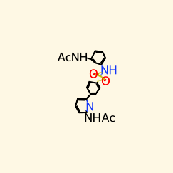 CC(=O)Nc1cccc(NS(=O)(=O)c2ccc(-c3cccc(NC(C)=O)n3)cc2)c1